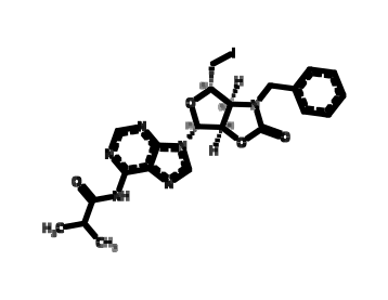 CC(C)C(=O)Nc1ncnc2c1ncn2[C@@H]1O[C@H](CI)[C@@H]2[C@H]1OC(=O)N2Cc1ccccc1